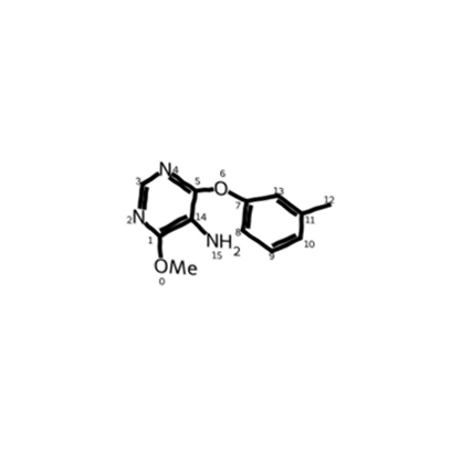 COc1ncnc(Oc2cccc(C)c2)c1N